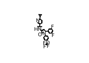 CC(C)(NC1=CC(c2cc(F)cc(F)c2)N(c2ccc(OC(F)(F)F)cc2)C1=O)c1ccc(C2CC2)nc1